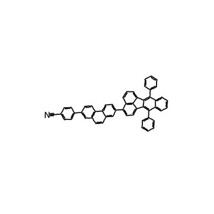 N#Cc1ccc(-c2ccc3c(ccc4cc(-c5ccc6c7c(cccc57)-c5c-6c(-c6ccccc6)c6ccccc6c5-c5ccccc5)ccc43)c2)cc1